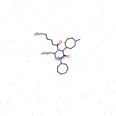 CCCCCCCCCCCCCCC(=O)N(C(CCCCCCC)CCCCCCC)C(C(=O)NC1CCCCCC1)C1CCCN(C)CC1